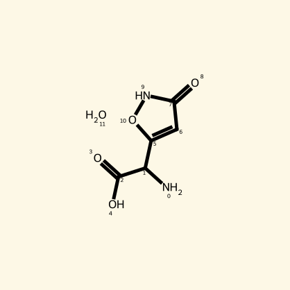 NC(C(=O)O)c1cc(=O)[nH]o1.O